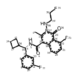 Cc1c(C(=O)N[C@H](c2cccc(F)c2)C2CCC2)c2cccc(F)c2c(=O)n1NCCF